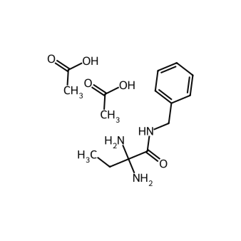 CC(=O)O.CC(=O)O.CCC(N)(N)C(=O)NCc1ccccc1